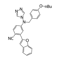 CCCCOc1ccc(CN(c2ccc(C#N)c(-c3cc4ccccc4o3)c2)n2cnnc2)cc1